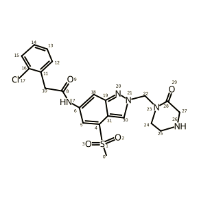 CS(=O)(=O)c1cc(NC(=O)Cc2ccccc2Cl)cc2nn(CN3CCNCC3=O)cc12